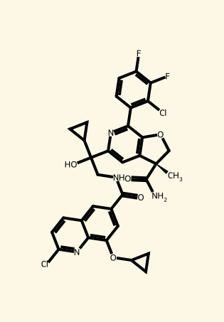 C[C@]1(C(N)=O)COc2c1cc(C(O)(CNC(=O)c1cc(OC3CC3)c3nc(Cl)ccc3c1)C1CC1)nc2-c1ccc(F)c(F)c1Cl